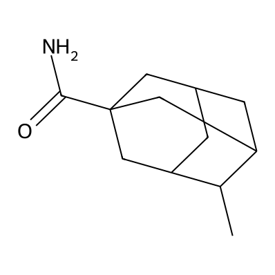 CC1C2CC3CC1CC(C(N)=O)(C3)C2